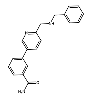 NC(=O)c1cccc(-c2ccc(CNCc3ccccc3)nc2)c1